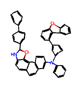 c1ccc(-c2ccc(C3Nc4ccc5ccc6cc(N(c7ccccc7)c7cccc(-c8cccc9oc%10ccccc%10c89)c7)ccc6c5c4O3)cc2)cc1